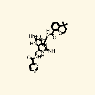 CC1(C)CCOc2c(C(=O)NC3CN4C(=N)N[C@@H](CNC(=O)c5ccncn5)C5NC(=N)NC54[C@@H]3O)cccc21